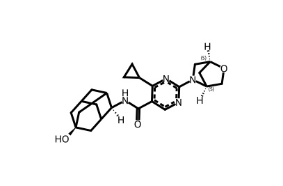 O=C(N[C@H]1C2CC3CC1C[C@@](O)(C3)C2)c1cnc(N2C[C@@H]3C[C@H]2CO3)nc1C1CC1